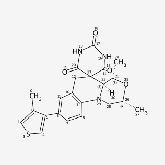 Cc1cscc1-c1ccc2c(c1)CC1(C(=O)NC(=O)NC1=O)[C@H]1[C@H](C)O[C@H](C)CN21